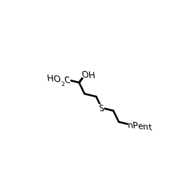 CCCCCCCSCCC(O)C(=O)O